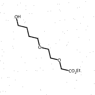 CCOC(=O)COCCOCCCCO